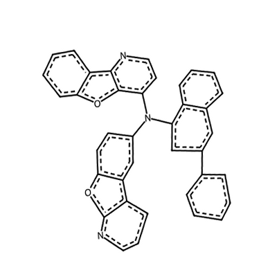 c1ccc(-c2cc(N(c3ccc4oc5ncccc5c4c3)c3ccnc4c3oc3ccccc34)c3ccccc3c2)cc1